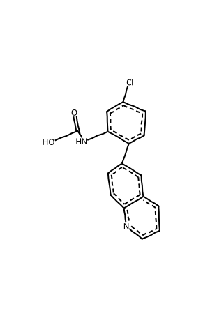 O=C(O)Nc1cc(Cl)ccc1-c1ccc2ncccc2c1